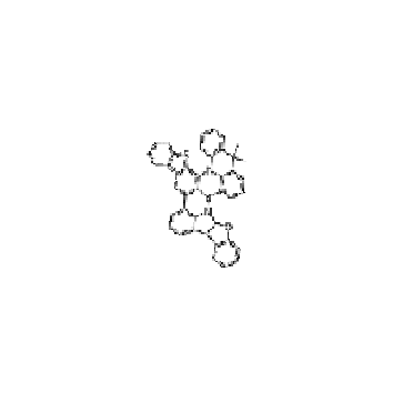 CC1(C)c2ccccc2N2c3c(cccc31)B1c3c(cc4c(sc5ccccc54)c32)-c2cccc3c2N1C1Oc2ccccc2C31